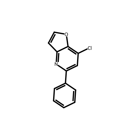 Clc1cc(-c2ccccc2)nc2ccoc12